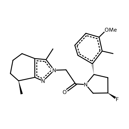 COc1cccc([C@@H]2C[C@@H](F)CN2C(=O)Cn2nc3c(c2C)CCC[C@@H]3C)c1C